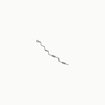 CC#CC=CC#CCC=CCCC=O